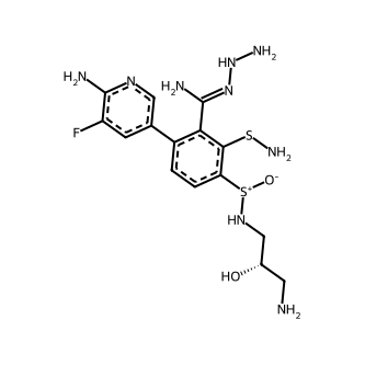 NC[C@H](O)CN[S+]([O-])c1ccc(-c2cnc(N)c(F)c2)c(/C(N)=N/NN)c1SN